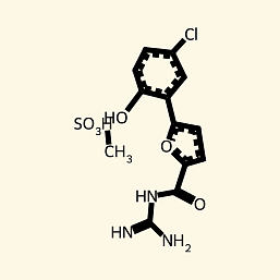 CS(=O)(=O)O.N=C(N)NC(=O)c1ccc(-c2cc(Cl)ccc2O)o1